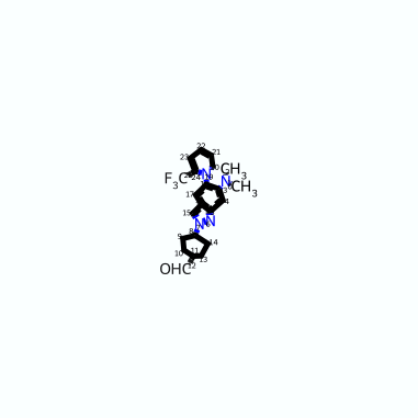 CN(C)c1cc2nn(C3CCC(C=O)CC3)cc2cc1N1CC=CC=C1C(F)(F)F